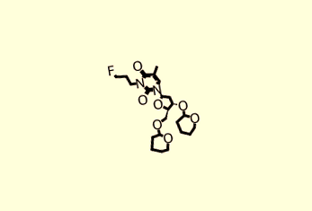 Cc1cn([C@H]2C[C@H](OC3CCCCO3)[C@@H](COC3CCCCO3)O2)c(=O)n(CCCF)c1=O